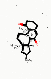 COC1C[C@H]2[C@@H]3C(=O)C=C4CCCC(=O)[C@]4(C)[C@@H]3CC[C@]2(C)C1